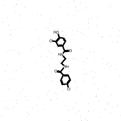 O=C(NCCNC(=O)c1ccc(O)c(Cl)c1)c1ccc(Cl)cc1